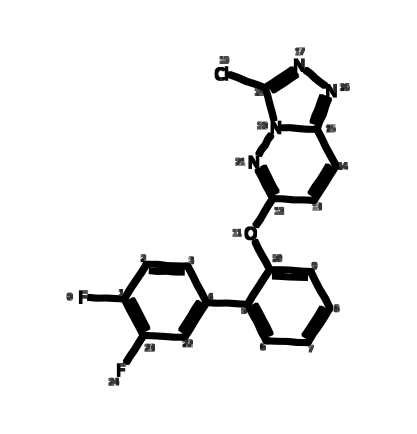 Fc1ccc(-c2ccccc2Oc2ccc3nnc(Cl)n3n2)cc1F